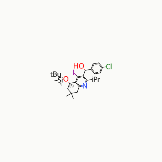 CC(C)c1nc2c(c(I)c1C(O)c1ccc(Cl)cc1)[C@@H](O[Si](C)(C)C(C)(C)C)CC(C)(C)C2